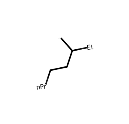 [CH2]C(CC)CCCCC